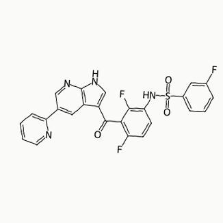 O=C(c1c(F)ccc(NS(=O)(=O)c2cccc(F)c2)c1F)c1c[nH]c2ncc(-c3ccccn3)cc12